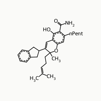 CCCCCc1cc2c(c(O)c1C(N)=O)C=C(C1Cc3ccccc3C1)C(C)(CCC=C(C)C)O2